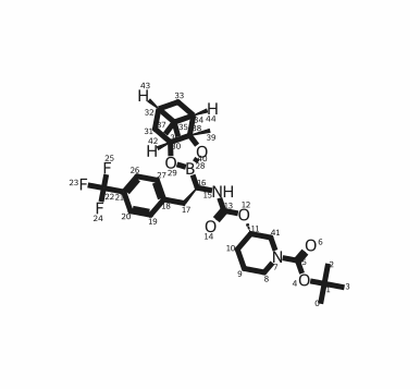 CC(C)(C)OC(=O)N1CCC[C@H](OC(=O)N[C@@H](Cc2ccc(C(F)(F)F)cc2)B2O[C@@H]3C[C@@H]4C[C@@H](C4(C)C)[C@]3(C)O2)C1